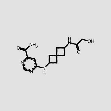 NC(=O)c1cc(NC2CC3(CC(NC(=O)CO)C3)C2)ncn1